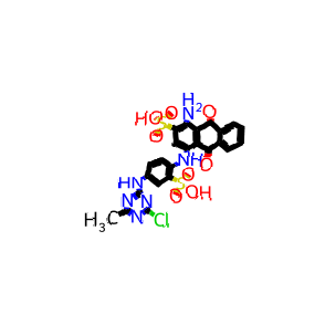 Cc1nc(Cl)nc(Nc2ccc(Nc3cc(S(=O)(=O)O)c(N)c4c3C(=O)c3ccccc3C4=O)c(S(=O)(=O)O)c2)n1